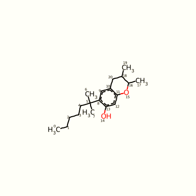 CCCCCC(C)(C)c1cc2c(cc1O)OC(C)C(C)C2